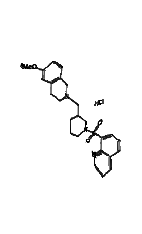 COc1ccc2c(c1)CCN(CC1CCCN(S(=O)(=O)c3cccc4cccnc34)C1)C2.Cl